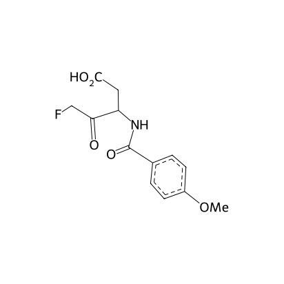 COc1ccc(C(=O)NC(CC(=O)O)C(=O)CF)cc1